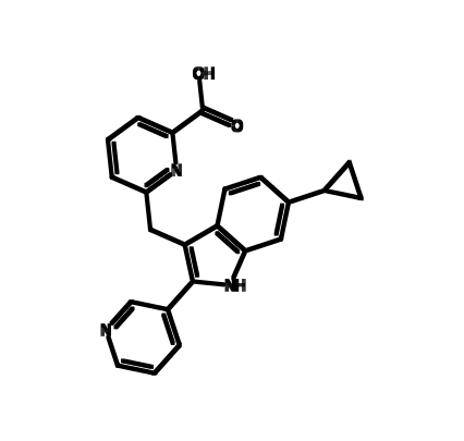 O=C(O)c1cccc(Cc2c(-c3cccnc3)[nH]c3cc(C4CC4)ccc23)n1